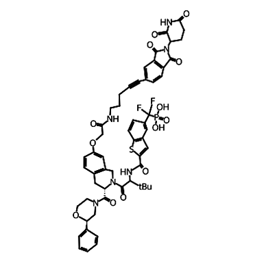 CC(C)(C)C(NC(=O)c1cc2cc(C(F)(F)P(=O)(O)O)ccc2s1)C(=O)N1Cc2cc(OCC(=O)NCCCC#Cc3ccc4c(c3)C(=O)N(C3CCC(=O)NC3=O)C4=O)ccc2C[C@H]1C(=O)N1CCO[C@H](c2ccccc2)C1